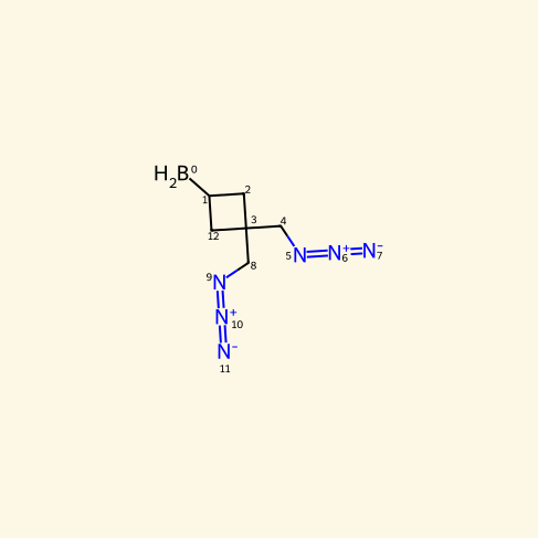 BC1CC(CN=[N+]=[N-])(CN=[N+]=[N-])C1